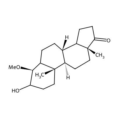 CO[C@@H]1C(O)CC[C@]2(C)C1CC[C@@H]1C3CCC(=O)[C@]3(C)CC[C@H]12